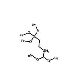 CCCOC(OCCC)[SiH2]CC[Si](OC(C)C)(OC(C)C)OC(C)C